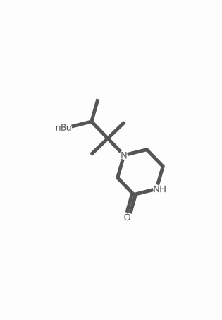 CCCCC(C)C(C)(C)N1CCNC(=O)C1